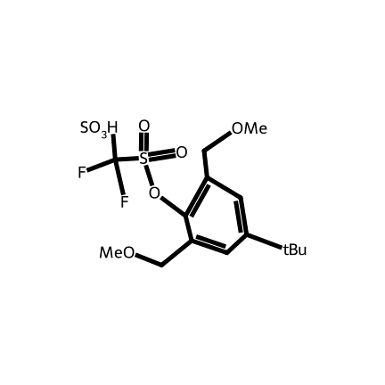 COCc1cc(C(C)(C)C)cc(COC)c1OS(=O)(=O)C(F)(F)S(=O)(=O)O